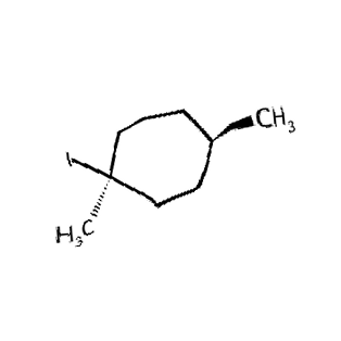 C[C@H]1CC[C@@](C)(I)CC1